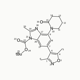 Cc1noc(C)c1-c1cc(N2CCCCC2=O)c2nc(C)n(C(=O)OC(C)(C)C)c2c1